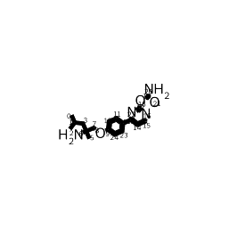 CC(C)CC(C)(N)COc1ccc(-c2ccnc(OC(N)=O)n2)cc1